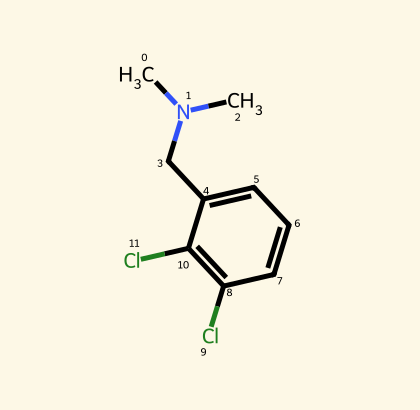 CN(C)Cc1cccc(Cl)c1Cl